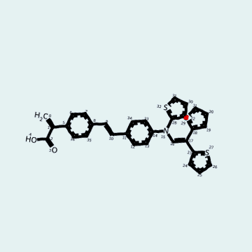 C=C(C(=O)O)c1ccc(C=Cc2ccc(N(C=C(c3cccs3)c3cccs3)c3cccs3)cc2)cc1